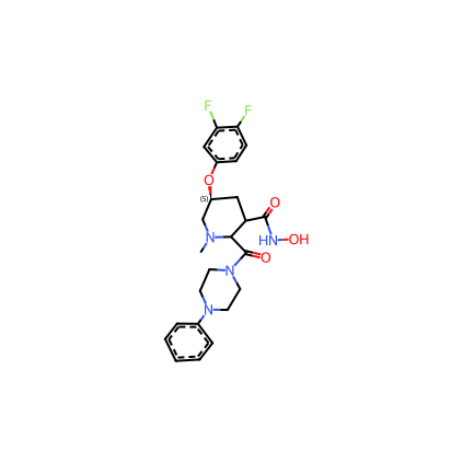 CN1C[C@@H](Oc2ccc(F)c(F)c2)CC(C(=O)NO)C1C(=O)N1CCN(c2ccccc2)CC1